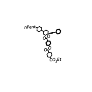 CCCCCC1CCC(C2CCC(C#Cc3ccccc3)(OC(=O)c3ccc(OC(=O)C4CCC(C(=O)OCC)CC4)cc3)CC2)CC1